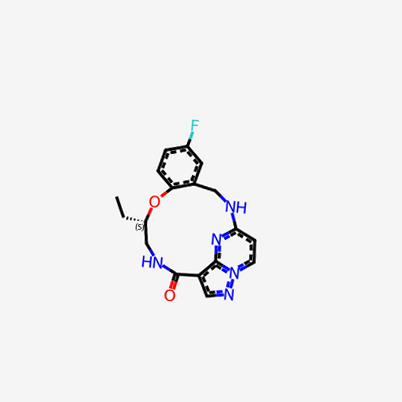 CC[C@H]1CNC(=O)c2cnn3ccc(nc23)NCc2cc(F)ccc2O1